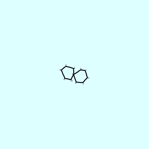 [CH]1CCCCC12CCCCC2